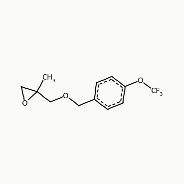 CC1(COCc2ccc(OC(F)(F)F)cc2)CO1